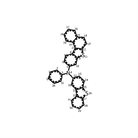 c1ccc(N(c2ccc3c(c2)sc2ccc4ccccc4c23)c2ccc3sc4ccccc4c3c2)cc1